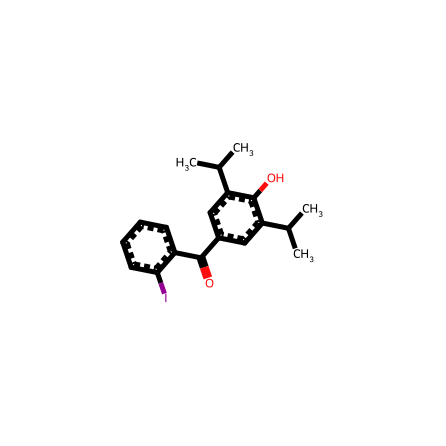 CC(C)c1cc(C(=O)c2ccccc2I)cc(C(C)C)c1O